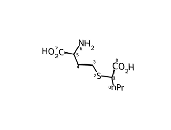 CCCC(SCC[C@H](N)C(=O)O)C(=O)O